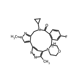 Cc1nnc2cc1N1CCOC[C@@H]1c1cc(F)ccc1C(=O)N(C1CC1)Cc1nn(C)cc1-2